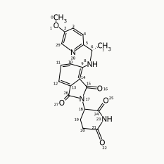 COc1ccc([C@H](C)Nc2cccc3c2C(=O)N(C2CCC(=O)NC2=O)C3=O)nc1